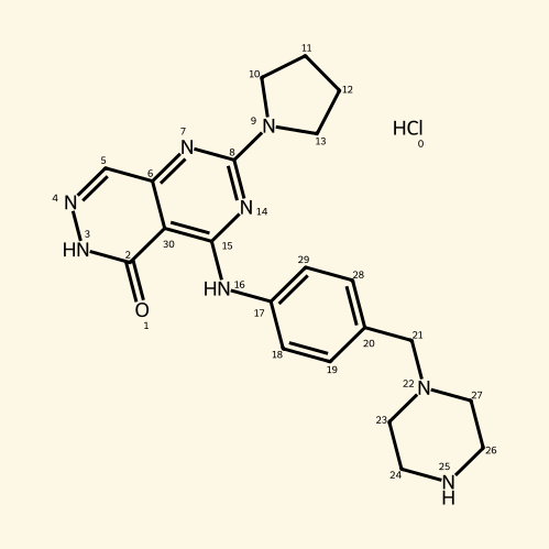 Cl.O=c1[nH]ncc2nc(N3CCCC3)nc(Nc3ccc(CN4CCNCC4)cc3)c12